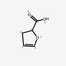 O=C(O)[C]1CC=CO1